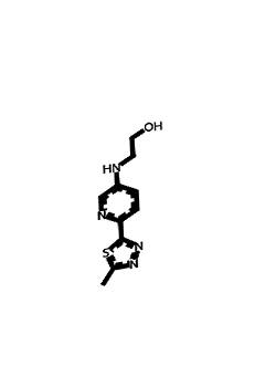 Cc1nnc(-c2ccc(NCCO)cn2)s1